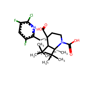 CC(C)(C)C1[C@@](Cc2nc(Cl)c(F)cc2F)(C(=O)O)CCN(C(=O)O)[C@@]1(C)C(C)(C)C